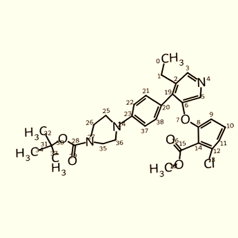 CCc1cncc(Oc2cccc(Cl)c2C(=O)OC)c1-c1ccc(N2CCN(C(=O)OC(C)(C)C)CC2)cc1